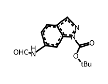 CC(C)(C)OC(=O)n1ncc2ccc(NC=O)cc21